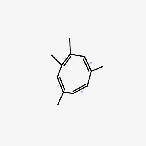 CC1=C/C(C)=C(C)\C=C(C)/C=C\1